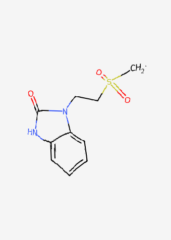 [CH2]S(=O)(=O)CCn1c(=O)[nH]c2ccccc21